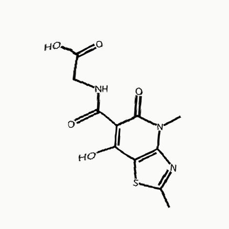 Cc1nc2c(s1)c(O)c(C(=O)NCC(=O)O)c(=O)n2C